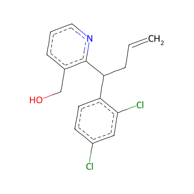 C=CCC(c1ccc(Cl)cc1Cl)c1ncccc1CO